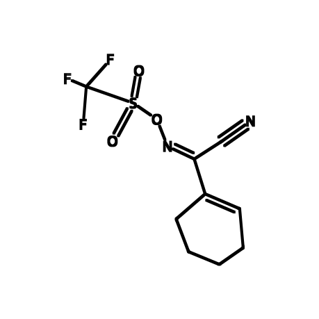 N#CC(=NOS(=O)(=O)C(F)(F)F)C1=CCCCC1